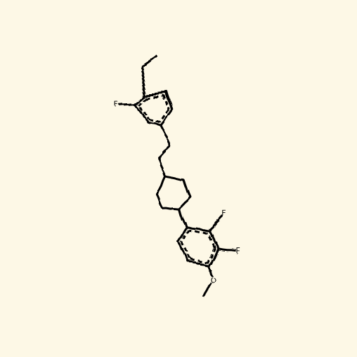 CCc1ccc(CCC2CCC(c3ccc(OC)c(F)c3F)CC2)cc1F